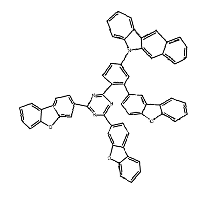 c1ccc2cc3c(cc2c1)c1ccccc1n3-c1ccc(-c2nc(-c3ccc4c(c3)oc3ccccc34)nc(-c3ccc4c(c3)oc3ccccc34)n2)c(-c2ccc3oc4ccccc4c3c2)c1